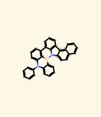 c1ccc(N2c3ccccc3B3c4c(cccc42)-c2cccc4c5c6ccccc6ccc5n3c24)cc1